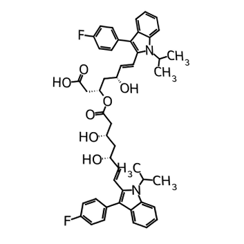 CC(C)n1c(/C=C/[C@H](O)C[C@H](O)CC(=O)O[C@H](CC(=O)O)C[C@@H](O)/C=C/c2c(-c3ccc(F)cc3)c3ccccc3n2C(C)C)c(-c2ccc(F)cc2)c2ccccc21